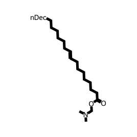 CCCCCCCCCCCCCCCCC=CCCCCCCCC(=O)OCN(C)C